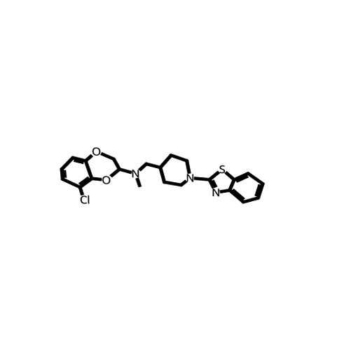 CN(CC1CCN(c2nc3ccccc3s2)CC1)C1COc2cccc(Cl)c2O1